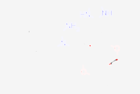 C/C=C\C1=C(N)N(c2ccc3c(c2)Oc2ccccc2C32c3ccccc3Oc3cc(C4NCCN4)ccc32)C2C=CC=CC12